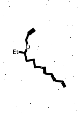 C#CCOC(CC)CCC/C=C/C=C/C=C